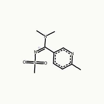 Cc1ccc(/C(=N\S(C)(=O)=O)N(C)C)cn1